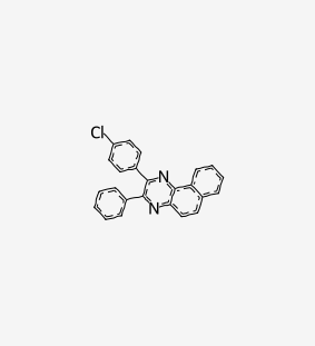 Clc1ccc(-c2nc3c(ccc4ccccc43)nc2-c2ccccc2)cc1